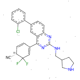 N#C[C@@H]1C=CC(c2nc(NCC3CCNC3)nc3ccc(-c4ccccc4Cl)cc23)=CC1(F)F